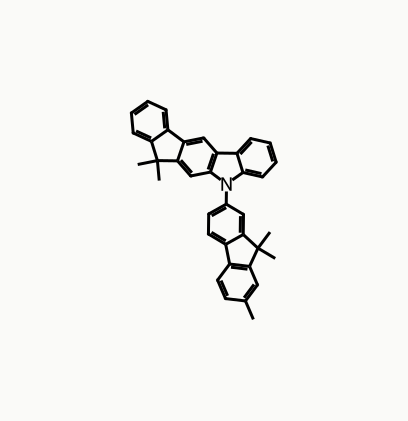 Cc1ccc2c(c1)C(C)(C)c1cc(-n3c4ccccc4c4cc5c(cc43)C(C)(C)c3ccccc3-5)ccc1-2